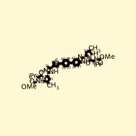 COC(=O)N[C@H](C(=O)N1C[C@@H](C)C[C@H]1c1ncc(-c2csc(-c3ccc(-c4ccc5[nH]c([C@@H]6C[C@H](C)CN6C(=O)[C@@H](NC(=O)OC)C(C)C)nc5c4)cc3)c2)[nH]1)C(C)C